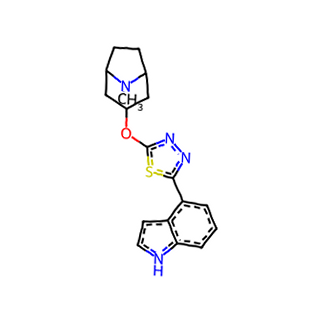 CN1C2CCC1CC(Oc1nnc(-c3cccc4[nH]ccc34)s1)C2